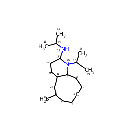 BC1CCCCCC2C(CCC(NC(C)C)N2C(C)C)C1